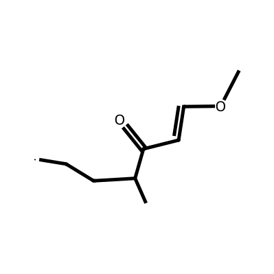 [CH2]CCC(C)C(=O)C=COC